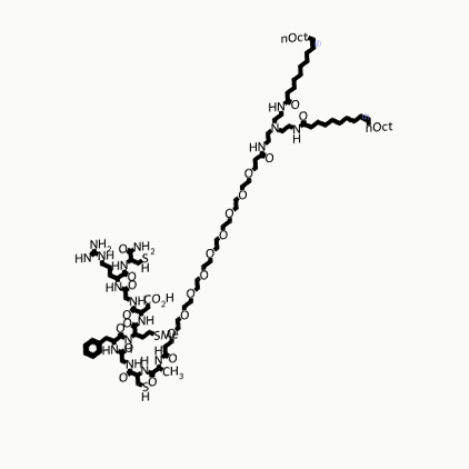 CCCCCCCC/C=C\CCCCCCCC(=O)NCCN(CCNC(=O)CCCCCCC/C=C\CCCCCCCC)CCNC(=O)CCOCCOCCOCCOCCOCCOCCOCCOCCOCCC(=O)NC(C)C(=O)NC(CS)C(=O)NCC(=O)NC(Cc1ccccc1)C(=O)NC(CCSC)C(=O)NC(CC(=O)O)C(=O)NCC(=O)NC(CCCNC(=N)N)C(=O)NC(CS)C(N)=O